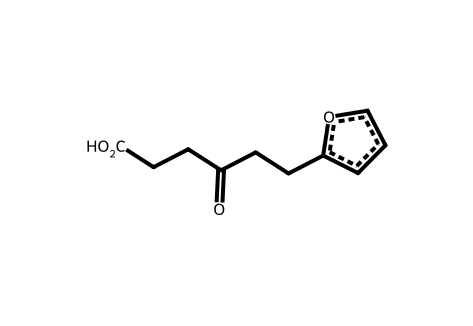 O=C(O)CCC(=O)CCc1ccco1